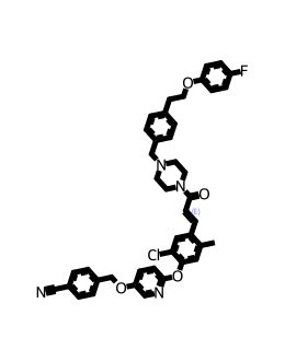 Cc1cc(Oc2ccc(OCc3ccc(C#N)cc3)cn2)c(Cl)cc1/C=C/C(=O)N1CCN(Cc2ccc(CCOc3ccc(F)cc3)cc2)CC1